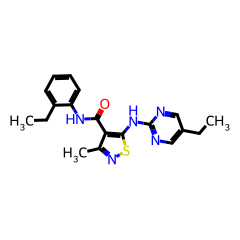 CCc1cnc(Nc2snc(C)c2C(=O)Nc2ccccc2CC)nc1